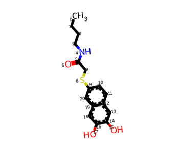 CCCCNC(=O)CSc1ccc2cc(O)c(O)cc2c1